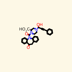 O=C1Cc2ccccc2N(C(=O)N2CCN(C(O)C#Cc3ccccc3)C[C@H]2C(=O)O)c2ccccc21